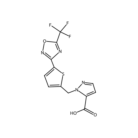 O=C(O)c1ccnn1Cc1ccc(-c2noc(C(F)(F)F)n2)s1